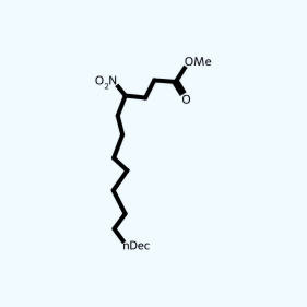 CCCCCCCCCCCCCCCCCC(CCC(=O)OC)[N+](=O)[O-]